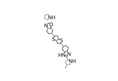 C[C@@H]1CN[C@H](c2nc3ccc(-c4cc5sc(-c6ccc7nc([C@@H]8C[C@H](C)CN8)oc7c6)cc5s4)cc3[nH]2)C1